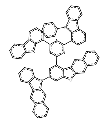 c1ccc(-n2c3ccccc3c3cccc(-c4nc(-c5cccc6c5sc5ccccc56)nc(-c5cc(-n6c7ccccc7c7cc8ccccc8cc76)cc6oc7cc8ccccc8cc7c56)n4)c32)cc1